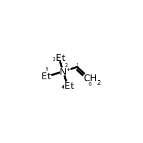 C=C[N+](CC)(CC)CC